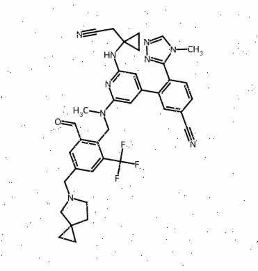 CN(Cc1c(C=O)cc(CN2CCC3(CC3)C2)cc1C(F)(F)F)c1cc(-c2cc(C#N)ccc2-c2nncn2C)cc(NC2(CC#N)CC2)n1